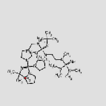 CN(C)P(=N)(N(C)C)N(C)CCN(C)P(=NC(C)(C)C)(N(C)C)N(C)CC1CCN(P(=NC(C)(C)C)(N2CCCC2)N2CCCC2)C1